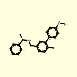 C[C@@H](NCc1ccc(Cl)c(-c2ccc(OC(F)(F)F)cc2)c1)c1ccccc1